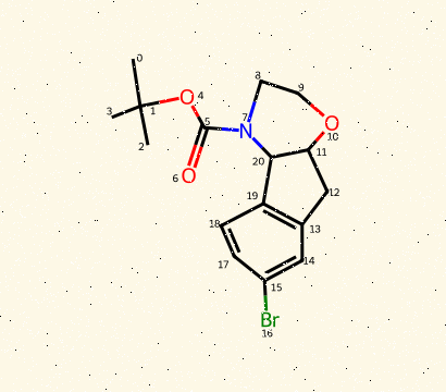 CC(C)(C)OC(=O)N1CCOC2Cc3cc(Br)ccc3C21